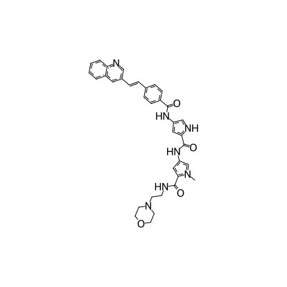 Cn1cc(NC(=O)c2cc(NC(=O)c3ccc(/C=C/c4cnc5ccccc5c4)cc3)c[nH]2)cc1C(=O)NCCN1CCOCC1